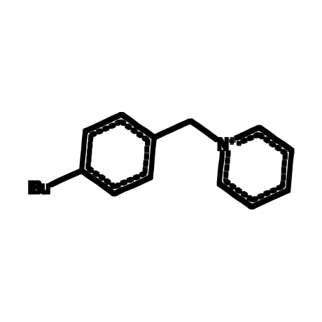 CCC(C)c1ccc(C[n+]2ccccc2)cc1